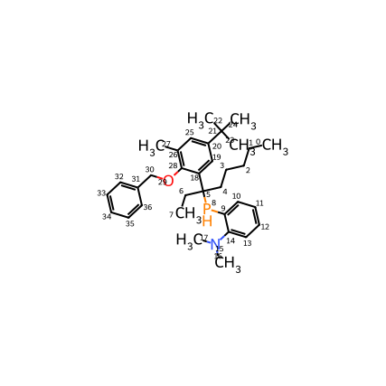 CCCCCC(CC)(Pc1ccccc1N(C)C)c1cc(C(C)(C)C)cc(C)c1OCc1ccccc1